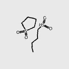 CCCC[SH](=O)=O.O=S1(=O)CCCC1